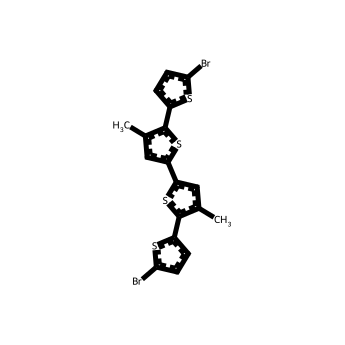 Cc1cc(-c2cc(C)c(-c3ccc(Br)s3)s2)sc1-c1ccc(Br)s1